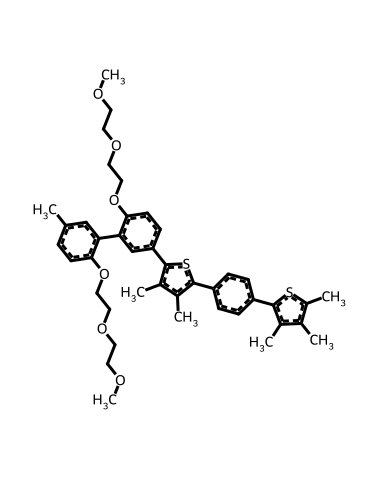 COCCOCCOc1ccc(C)cc1-c1cc(-c2sc(-c3ccc(-c4sc(C)c(C)c4C)cc3)c(C)c2C)ccc1OCCOCCOC